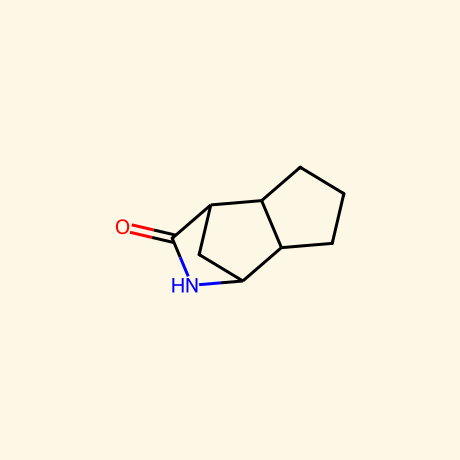 O=C1NC2CC1C1CCCC21